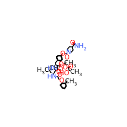 Cc1ccccc1OCC(=O)N[C@@H](CC(C)C)C(=O)N[C@@H](Cc1ccc(OC(=O)N2CCC(C(N)=O)CC2)cc1)C(=O)OC(C)OC(=O)[C@@H](C)O